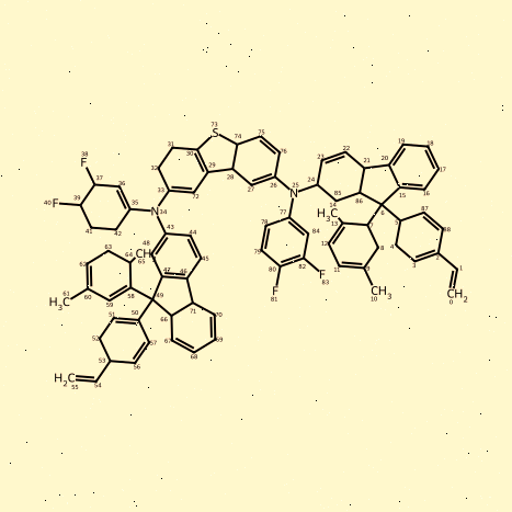 C=CC1=CCC(C2(C3CC(C)=CC=C3C)c3ccccc3C3C=CC(N(C4=CC5C6=C(CCC(N(C7=CC(F)C(F)CC7)c7ccc8c(c7)C(C7=CCC(C=C)C=C7)(C7=CC(C)=CCC7C)C7C=CC=CC87)=C6)SC5C=C4)c4ccc(F)c(F)c4)CC32)C=C1